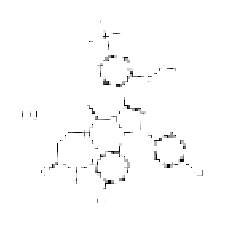 CCOc1cc(C(C)(C)C)ccc1C1=N[C@@H](c2ccc(Cl)cc2)[C@@H](c2ccc(Cl)cc2)N1C(=O)N1CCNC(=O)CC1.Cl